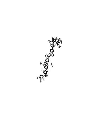 CC(C)(C1CCN(C(=O)COC(=O)N2CCC(c3cnc(-c4c(-c5nn(C6CC6)c6ncnc(N)c56)noc4C4CC4)nc3)CC2)CC1)N1CCN(c2c(F)cc(NC3CCC(=O)NC3=O)cc2F)CC1